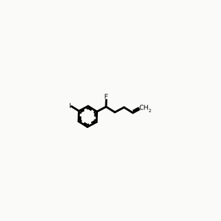 C=CCCC(F)c1cccc(I)c1